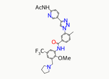 COc1c(CN2CCCC2)cc(C(F)(F)F)cc1NC(=O)c1ccc(C)c(-n2cc(-c3ccc(NC(C)=O)nc3)nn2)c1